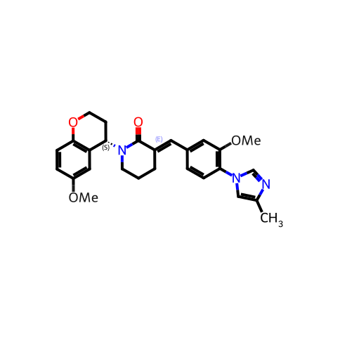 COc1ccc2c(c1)[C@@H](N1CCC/C(=C\c3ccc(-n4cnc(C)c4)c(OC)c3)C1=O)CCO2